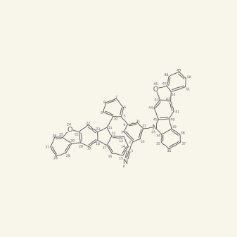 N#Cc1cc(-c2ccccc2C2c3ccccc3-c3cc4c(cc32)oc2ccccc24)cc(-n2c3ccccc3c3cc4c(cc32)oc2ccccc24)c1